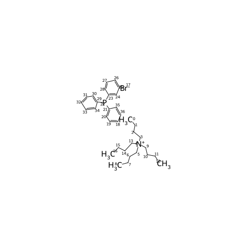 CCCC[N+](CCCC)(CCCC)CCCC.[Br-].c1ccc(P(c2ccccc2)c2ccccc2)cc1